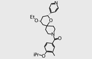 CCO[C@@H]1C[C@H](c2ccncc2)OC2(CCN(C(=O)c3ccc(OC(C)C)c(C)c3)CC2)C1